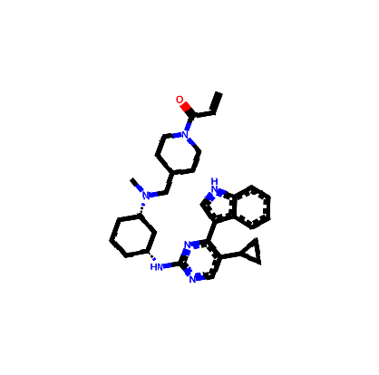 C=CC(=O)N1CCC(CN(C)[C@H]2CCC[C@@H](Nc3ncc(C4CC4)c(-c4c[nH]c5ccccc45)n3)C2)CC1